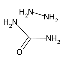 NC(N)=O.NN